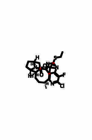 CCSc1nc2c3c(nc(Cl)c(F)c3n1)[C@H](C)CC[C@H]1[C@@H]3CC[C@H](CN21)N3C(=O)OC(C)(C)C